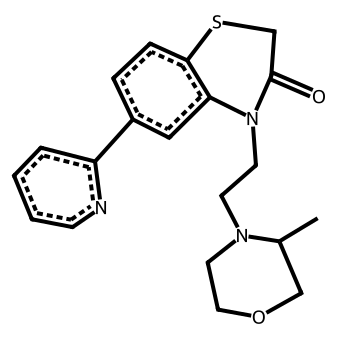 CC1COCCN1CCN1C(=O)CSc2ccc(-c3ccccn3)cc21